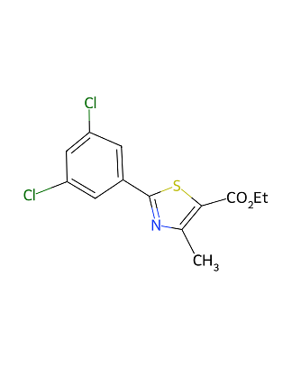 CCOC(=O)c1sc(-c2cc(Cl)cc(Cl)c2)nc1C